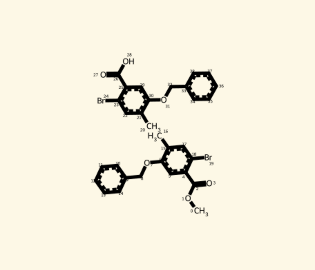 COC(=O)c1cc(OCc2ccccc2)c(C)cc1Br.Cc1cc(Br)c(C(=O)O)cc1OCc1ccccc1